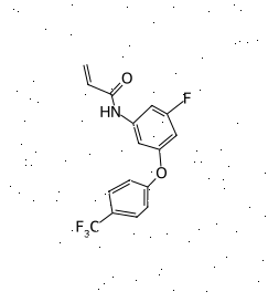 C=CC(=O)Nc1cc(F)cc(Oc2ccc(C(F)(F)F)cc2)c1